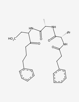 CC(C)[C@H](NC(=O)CCc1ccccc1)C(=O)N[C@@H](C)C(=O)NC(CC(=O)O)C(=O)CCCc1ccccc1